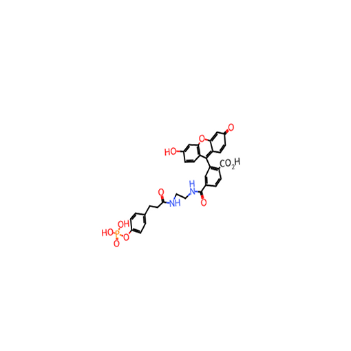 O=C(CCc1ccc(OP(=O)(O)O)cc1)NCCNC(=O)c1ccc(C(=O)O)c(-c2c3ccc(=O)cc-3oc3cc(O)ccc23)c1